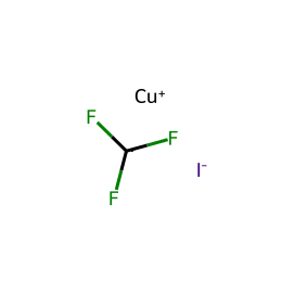 F[C](F)F.[Cu+].[I-]